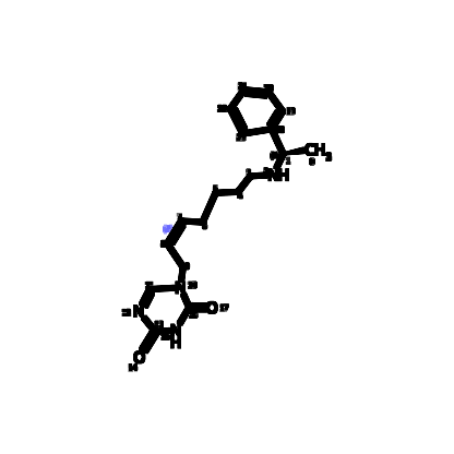 C[C@@H](NCCCC/C=C\Cn1cnc(=O)[nH]c1=O)c1ccccc1